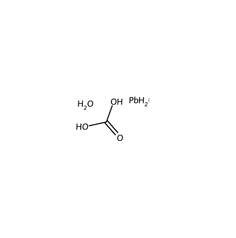 O.O=C(O)O.[PbH2]